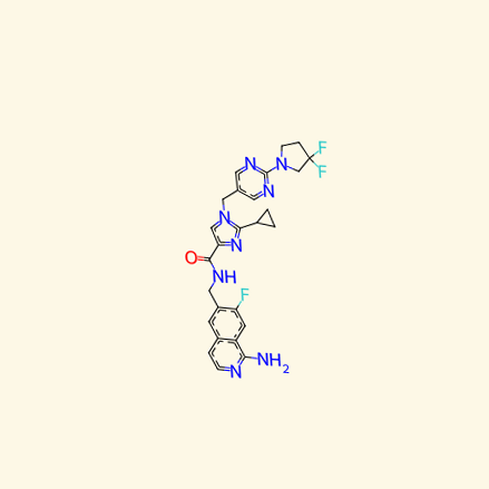 Nc1nccc2cc(CNC(=O)c3cn(Cc4cnc(N5CCC(F)(F)C5)nc4)c(C4CC4)n3)c(F)cc12